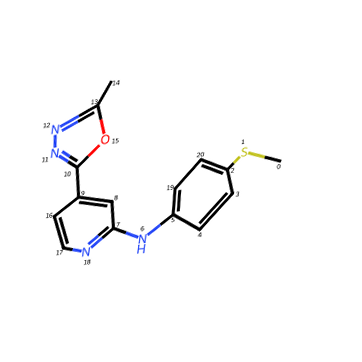 CSc1ccc(Nc2cc(-c3nnc(C)o3)ccn2)cc1